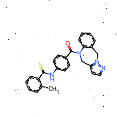 Cc1ccccc1C(=S)Nc1ccc(C(=O)N2Cc3ccnn3Cc3ccccc32)cc1